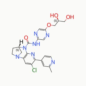 Cc1cc(-c2nc3c(cc2Cl)N2CC[C@@H](C2)N3C(=O)Nc2cnc(OC[C@@H](O)CO)cn2)ccn1